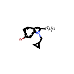 CCOC(=O)c1cc2ccc(Br)cc2n1CC1CC1